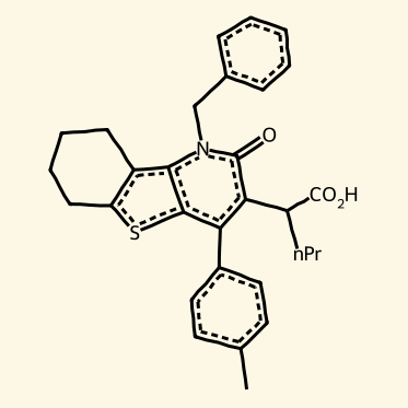 CCCC(C(=O)O)c1c(-c2ccc(C)cc2)c2sc3c(c2n(Cc2ccccc2)c1=O)CCCC3